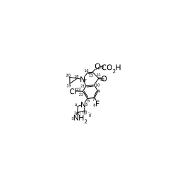 C[C@@H]1[C@@H](N)CN1c1c(F)cc2c(=O)c(OC(=O)O)cn(C3CC3)c2c1Cl